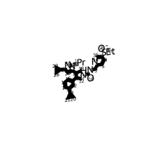 CC[S+]([O-])c1ccc(CNC(=O)N2CC(c3cccc(C4CC4)c3)C(c3cc(C4CC4)nn3C(C)C)C2)nc1